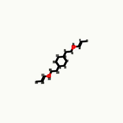 CC=COCCC1CCC(CCOC=CC)CC1